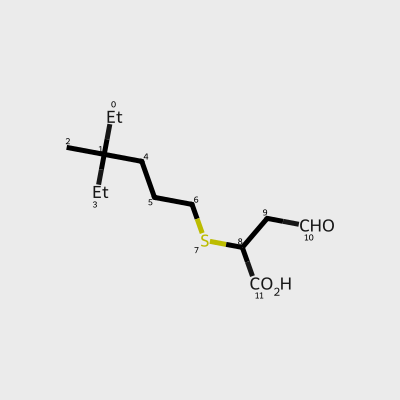 CCC(C)(CC)CCCSC(CC=O)C(=O)O